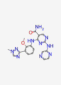 COc1c(Nc2nc(Nc3cnccn3)ncc2C(N)=O)cccc1-c1ncn(C)n1